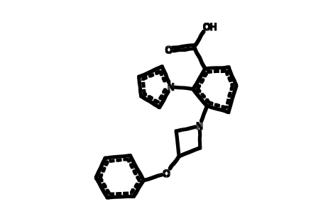 O=C(O)c1cccc(N2CC(Oc3ccccc3)C2)c1-n1cccc1